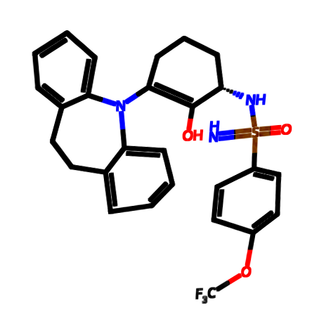 N=S(=O)(N[C@H]1CCCC(N2c3ccccc3CCc3ccccc32)=C1O)c1ccc(OC(F)(F)F)cc1